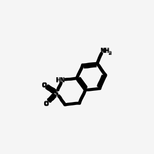 Nc1ccc2c(c1)NS(=O)(=O)CC2